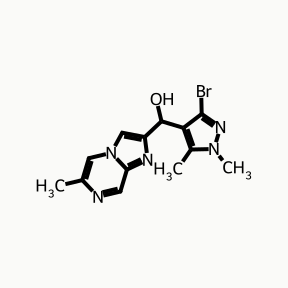 Cc1cn2cc(C(O)c3c(Br)nn(C)c3C)nc2cn1